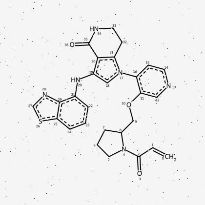 C=CC(=O)N1CCCC1COc1cnccc1-n1cc(Nc2cccc3scnc23)c2c1CCNC2=O